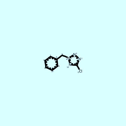 Clc1nnn(Cc2ccccc2)n1